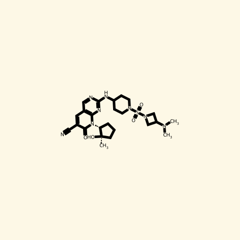 CN(C)C1CN(S(=O)(=O)N2CCC(Nc3ncc4cc(C#N)c(=O)n([C@@H]5CCC[C@@]5(C)O)c4n3)CC2)C1